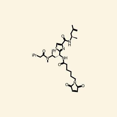 C=C(C)C[C@@H](C)NC(=O)c1csc([C@@H](C[C@H](C(C)C)N(C)C(=O)CC(C)C)NC(=O)CCCCCN2C(=O)C=CC2=O)n1